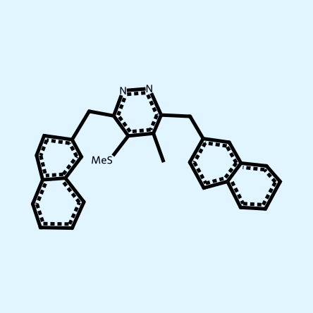 CSc1c(Cc2ccc3ccccc3c2)nnc(Cc2ccc3ccccc3c2)c1C